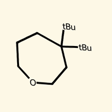 CC(C)(C)C1(C(C)(C)C)CCCOCC1